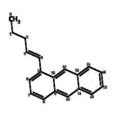 CCCC=Cc1cccc2cc3ccccc3cc12